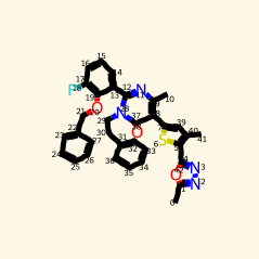 Cc1nnc(-c2sc(-c3c(C)nc(-c4cccc(F)c4OCc4ccccc4)n(CCc4ccccc4)c3=O)cc2C)o1